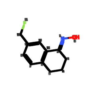 ON=C1CCCc2ccc(CF)cc21